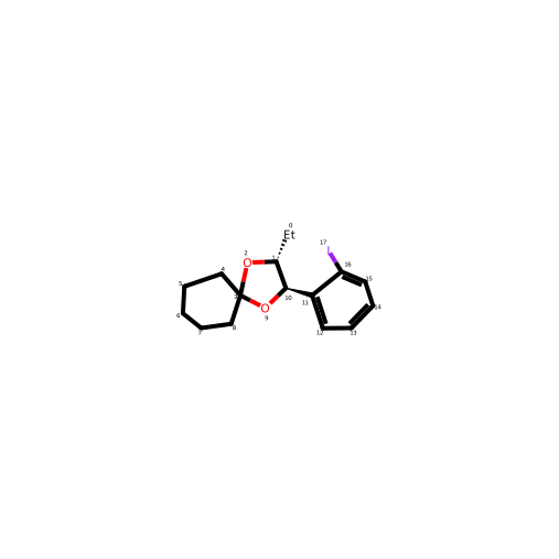 CC[C@H]1OC2(CCCCC2)O[C@@H]1c1ccccc1I